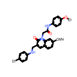 CCOc1ccc(NC(=O)Cn2c(=O)c(CNc3ccc(CC)cc3)cc3ccc(OC)cc32)cc1